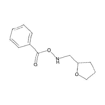 O=C(ONCC1CCCO1)c1ccccc1